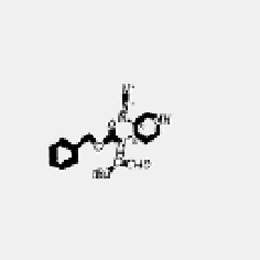 CC(C)(C)OC=O.[N-]=[N+]=N[C@@H]1CNCC[C@@H]1NC(=O)OCc1ccccc1